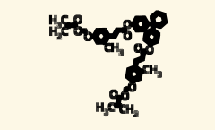 C=C(C)C(=O)OCOc1ccc(CCC(=O)Oc2ccc(C3(c4ccc(OC(=O)CCc5ccc(OCOC(=O)C(=C)C)cc5C)cc4)CCCCC3)cc2)c(C)c1